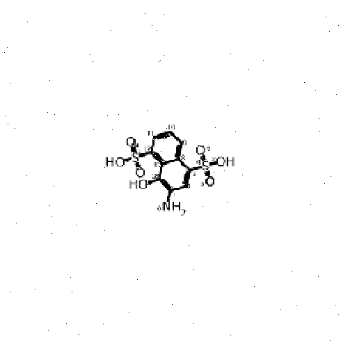 Nc1cc(S(=O)(=O)O)c2cccc(S(=O)(=O)O)c2c1O